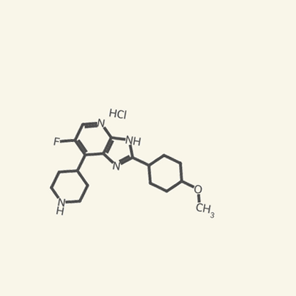 COC1CCC(c2nc3c(C4CCNCC4)c(F)cnc3[nH]2)CC1.Cl